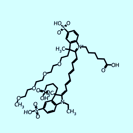 CCN1/C(=C/C=C/C=C/C=C/C2=[N+](CCCCCC(=O)O)c3ccc(S(=O)(=O)O)cc3C2(C)CCOCCOCCOCCOC)C(C)(CCCS(=O)(=O)O)c2cc(S(=O)(=O)O)ccc21